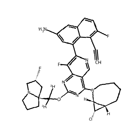 [2H]C([2H])(Oc1nc(N2CCCC[C@@H]3[C@H](Cl)[C@@H]32)c2cnc(-c3cc(N)cc4ccc(F)c(C#C)c34)c(F)c2n1)[C@@]12CCCN1C[C@H](F)C2